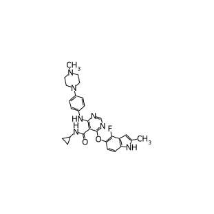 Cc1cc2c(F)c(Oc3ncnc(Nc4ccc(N5CCN(C)CC5)cc4)c3C(=O)NC3CC3)ccc2[nH]1